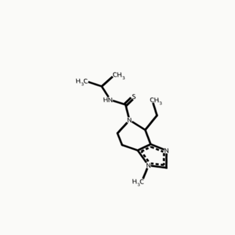 CCC1c2ncn(C)c2CCN1C(=S)NC(C)C